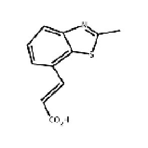 Cc1nc2cccc(C=CC(=O)O)c2s1